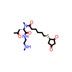 CNCCNC(=O)[C@H](CC(C)=O)N(C)C(=O)CCCCCSC1CC(=O)CC1=O